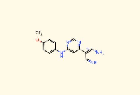 N=C/C(=C\N)c1cc(Nc2ccc(OC(F)(F)F)cc2)ncn1